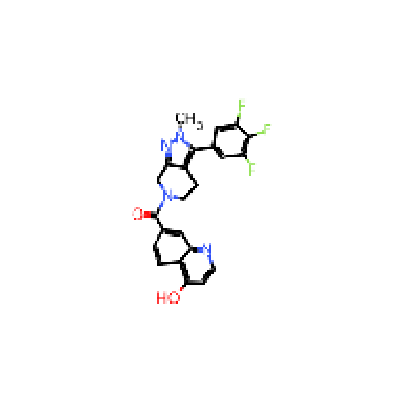 Cn1nc2c(c1-c1cc(F)c(F)c(F)c1)CCN(C(=O)c1ccc3c(O)ccnc3c1)C2